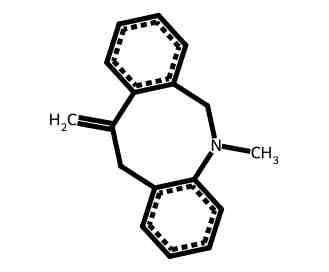 C=C1Cc2ccccc2N(C)Cc2ccccc21